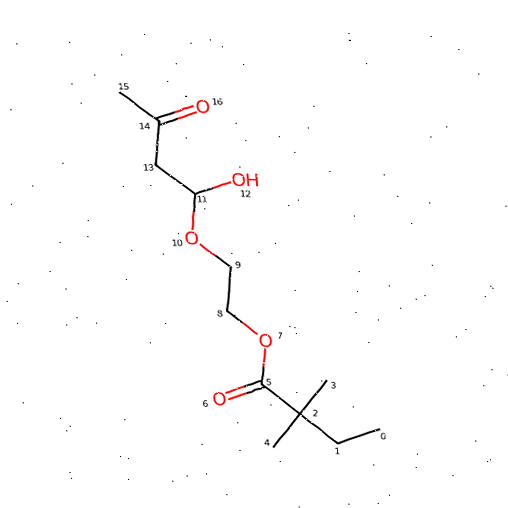 CCC(C)(C)C(=O)OCCOC(O)CC(C)=O